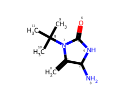 C=C1C(N)NC(=O)N1C(C)(C)C